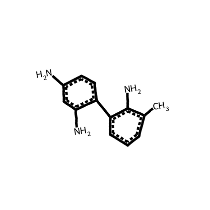 Cc1cccc(-c2ccc(N)cc2N)c1N